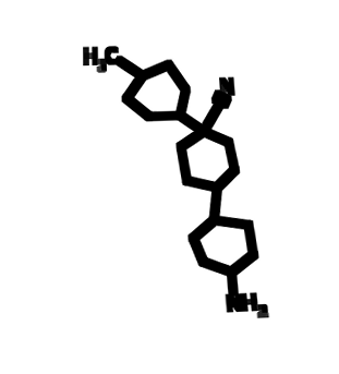 CC1CCC(C2(C#N)CCC(C3CCC(N)CC3)CC2)CC1